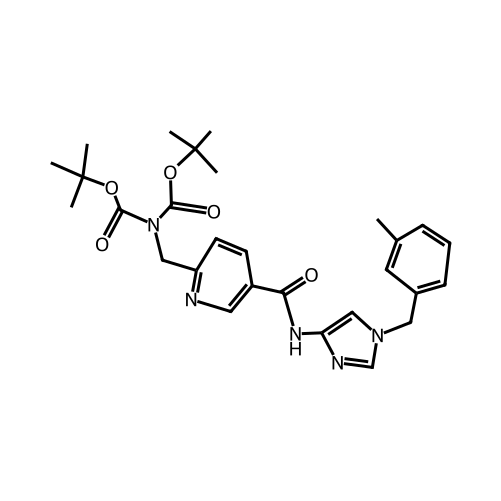 Cc1cccc(Cn2cnc(NC(=O)c3ccc(CN(C(=O)OC(C)(C)C)C(=O)OC(C)(C)C)nc3)c2)c1